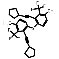 Cc1ccc(Sc2ccc(C)c(C(F)(F)F)c2C#CC2CCCC2)c(C#CC2CCCC2)c1C(F)(F)F